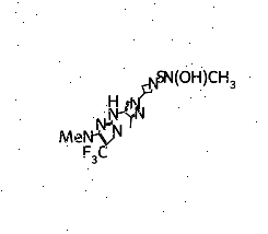 CNc1nc(Nc2cn(C3CN(SN(C)O)C3)nc2C)ncc1C(F)(F)F